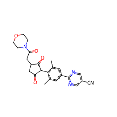 Cc1cc(-c2ncc(C#N)cn2)cc(C)c1C1C(=O)CC(CC(=O)N2CCOCC2)C1=O